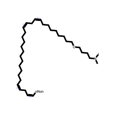 CCCCCCCCC/C=C\C/C=C\CCCCCCCCCCC/C=C\C/C=C\CCCCCCCCOCCCCN(C)I